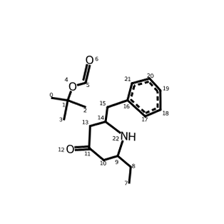 CC(C)(C)OC=O.CCC1CC(=O)CC(Cc2ccccc2)N1